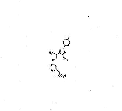 Cc1nn(-c2ccc(F)cc2)cc1C(C)COc1cccc(CC(=O)O)c1